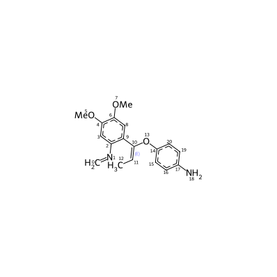 C=Nc1cc(OC)c(OC)cc1/C(=C\C)Oc1ccc(N)cc1